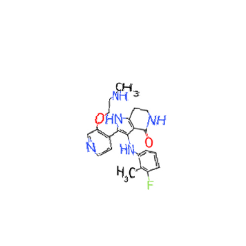 CNCCOc1cnccc1-c1[nH]c2c(c1Nc1cccc(F)c1C)C(=O)NCC2